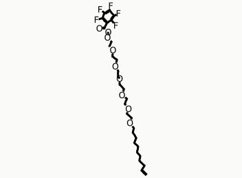 C=CCCCCCCCCCOCCOCCOCCOCCOCCOCCOOC(=O)c1c(F)c(F)c(F)c(F)c1F